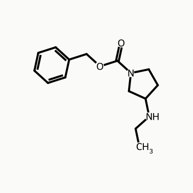 CCNC1CCN(C(=O)OCc2ccccc2)C1